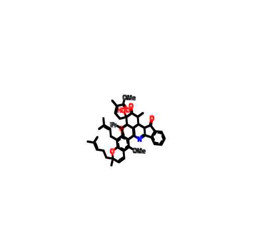 COC(=O)/C(C)=C\CC1(O)C(=O)C(C)C2C3=C(N=C4c5ccccc5C(=O)C42)c2c(OC)c4c(c(CC=C(C)C)c2OC31C(C)C(C)C)OC(C)(CCC=C(C)C)C=C4